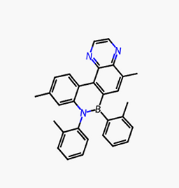 Cc1ccc2c(c1)N(c1ccccc1C)B(c1ccccc1C)c1cc(C)c3nccnc3c1-2